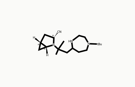 CC(C)(C)N1CCNC(CC(C)(C)N2[C@@H]3C[C@@H]3C[C@@H]2C#N)CC1